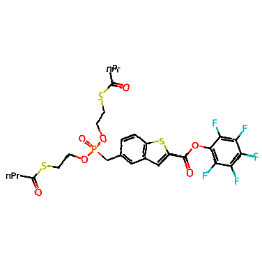 CCCC(=O)SCCOP(=O)(Cc1ccc2sc(C(=O)Oc3c(F)c(F)c(F)c(F)c3F)cc2c1)OCCSC(=O)CCC